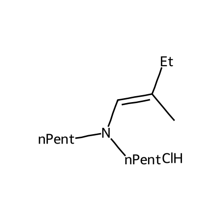 CCCCCN(C=C(C)CC)CCCCC.Cl